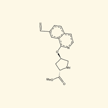 C=Cc1ccc2ccnc(O[C@H]3CN[C@H](C(=O)OC)C3)c2c1